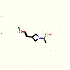 CO/C=C/C1CN(B(C)O)C1